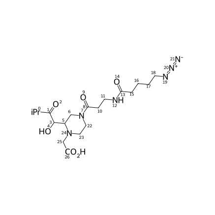 CC(C)C(=O)C(O)C1CN(C(=O)CCNC(=O)CCCCN=[N+]=[N-])CCN1CC(=O)O